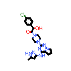 Cc1cc(Nc2nc(N3CCN(C(=O)C(O)c4ccc(Cl)cc4)CC3)nn3cccc23)n[nH]1